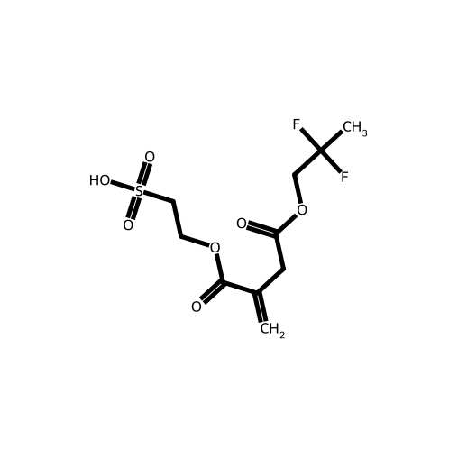 C=C(CC(=O)OCC(C)(F)F)C(=O)OCCS(=O)(=O)O